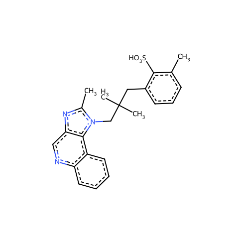 Cc1cccc(CC(C)(C)Cn2c(C)nc3cnc4ccccc4c32)c1S(=O)(=O)O